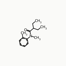 CCC(CC)C(=O)N(C)c1ccccc1C